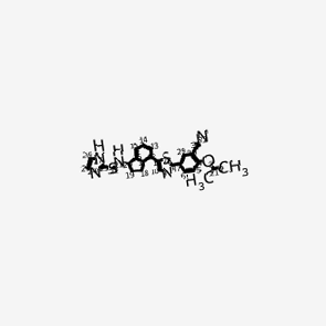 CC(C)Oc1ccc(-c2ncc(-c3cccc4c3CC[C@@H]4NSc3ncc[nH]3)s2)cc1C#N